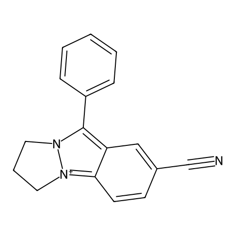 N#Cc1ccc2c(c1)c(-c1ccccc1)n1[n+]2CCC1